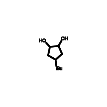 CCC(C)C1CC(O)C(O)C1